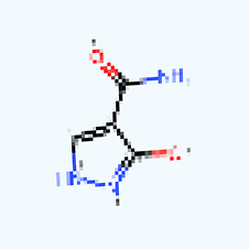 NC(=O)c1c[nH]nc1[O]